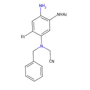 CCc1cc(N)c(NC(C)=O)cc1N(CC#N)Cc1ccccc1